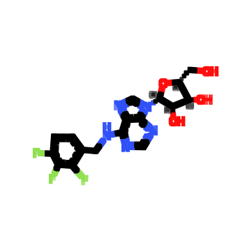 OC[C@H]1O[C@@H](n2cnc3c(NCc4ccc(F)c(F)c4F)ncnc32)[C@H](O)[C@@H]1O